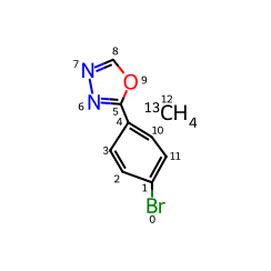 Brc1ccc(-c2nnco2)cc1.[13CH4]